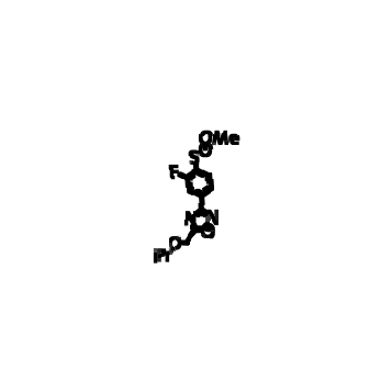 COOSc1ccc(-c2noc(COC(C)C)n2)cc1F